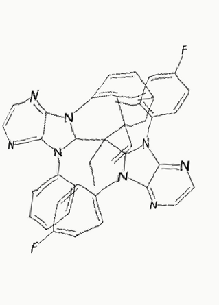 C=CC12Cc3ccc(c1c3)N1c3nccnc3N(c3ccccc3)C1C2(CC)C1N(c2ccc(F)cc2)c2nccnc2N1c1ccc(F)cc1C